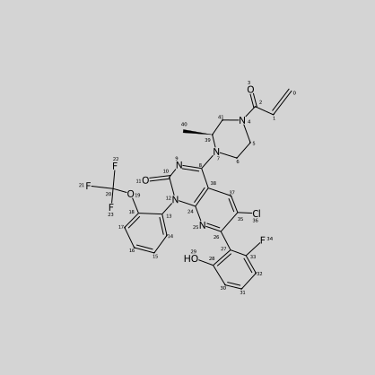 C=CC(=O)N1CCN(c2nc(=O)n(-c3ccccc3OC(F)(F)F)c3nc(-c4c(O)cccc4F)c(Cl)cc23)[C@@H](C)C1